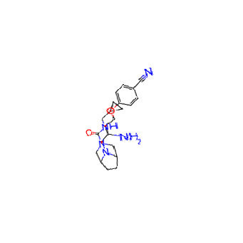 N#Cc1ccc(OCCC(N)CN2C3CCC2CN(C(=O)NCC2CC2)C3)cc1